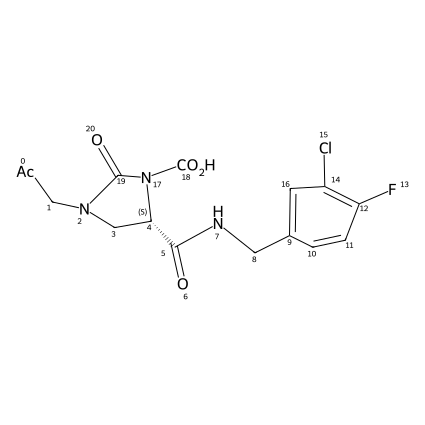 CC(=O)CN1C[C@@H](C(=O)NCc2ccc(F)c(Cl)c2)N(C(=O)O)C1=O